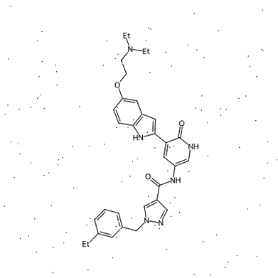 CCc1cccc(Cn2cc(C(=O)Nc3c[nH]c(=O)c(-c4cc5cc(OCCN(CC)CC)ccc5[nH]4)c3)cn2)c1